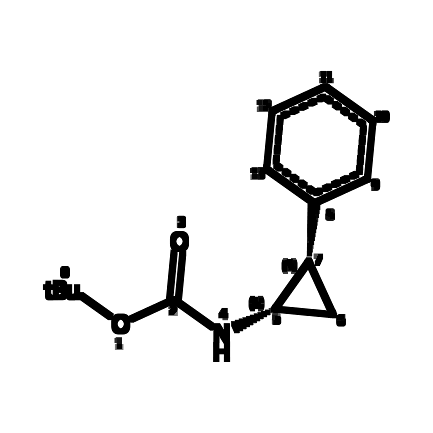 CC(C)(C)OC(=O)N[C@H]1C[C@H]1c1ccccc1